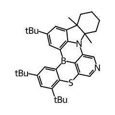 CC(C)(C)c1cc2c(c(C(C)(C)C)c1)Sc1cncc3c1B2c1cc(C(C)(C)C)cc2c1N3C1(C)CCCCC21C